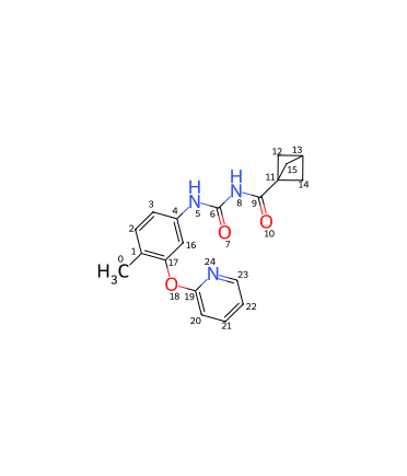 Cc1ccc(NC(=O)NC(=O)C23CC(C2)C3)cc1Oc1ccccn1